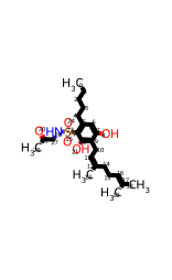 CCCCCc1cc(O)c(CC=C(C)CCC=C(C)C)c(O)c1S(=O)(=O)NCC(C)=O